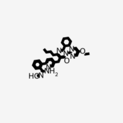 CCCCc1nc(C2CCCCC2)n(-c2ncc(OCC)cn2)c(=O)c1Cc1ccc(-c2ccccc2/C(N)=N\O)nc1